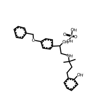 CC(C)(CCc1ccccc1O)NCC(O)c1ccc(OCc2ccccc2)cc1.O=S(=O)(O)O